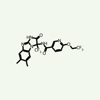 Cc1cc2nc3n(c2cc1C)C(NC(=O)c1ccc(OCC(F)(F)F)nc1)(C(F)(F)F)C(=O)N3